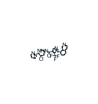 O=C(Nc1cnc(-n2cccn2)c(Cl)c1)c1cnn(-c2cccc3ccncc23)c1C(F)(F)F